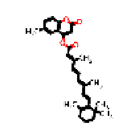 CC1=C(/C=C/C(C)=C/C=C/C(C)=C/C(=O)Oc2cc(=O)oc3ccc(C)cc23)C(C)(C)CCC1